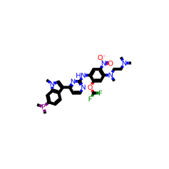 CN(C)CCN(C)c1cc(OC(F)F)c(Nc2nccc(-c3cn(C)c4cc(P(C)C)ccc34)n2)cc1[N+](=O)[O-]